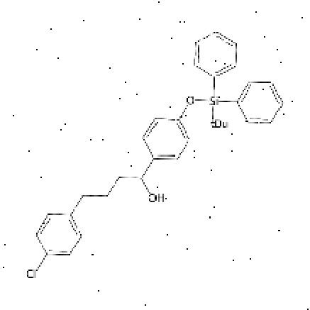 CC(C)(C)[Si](Oc1ccc(C(O)CCCc2ccc(Cl)cc2)cc1)(c1ccccc1)c1ccccc1